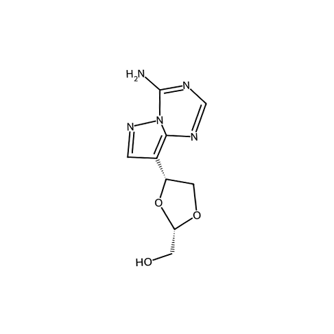 Nc1ncnc2c([C@@H]3CO[C@H](CO)O3)cnn12